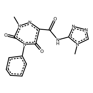 Cn1cnnc1NC(=O)c1nn(C)c(=O)n(-c2ccccc2)c1=O